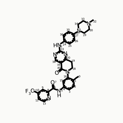 Cc1ccc(NC(=O)c2cc(C(F)(F)F)ccn2)cc1N1CCc2nc(Nc3ccc(N4CCN(C)CC4)cc3)ncc2C1=O